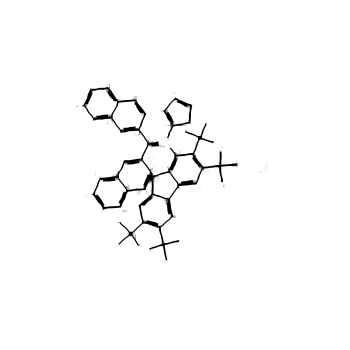 CC(C)(C)c1cc2c(cc1C(C)(C)C)-c1cc(C(C)(C)C)c(C(C)(C)C)[c]([Zr]([C]3=CC=CC3)=[C](c3ccc4ccccc4c3)c3ccc4ccccc4c3)c1C2.Cl.Cl